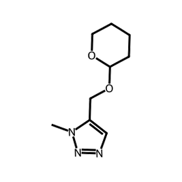 Cn1nncc1COC1CCCCO1